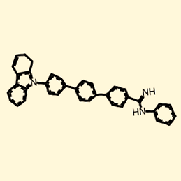 N=C(Nc1ccccc1)c1ccc(-c2ccc(-c3ccc(-n4c5c(c6ccccc64)C=CCC5)cc3)cc2)cc1